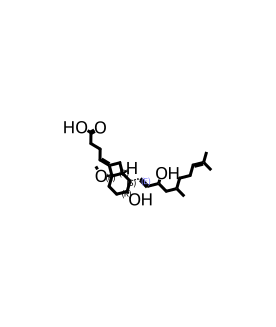 CO[C@]12CC[C@@H](O)[C@@H](/C=C/C(O)CC(C)CCC=C(C)C)[C@H]1CC2=CCCC(=O)O